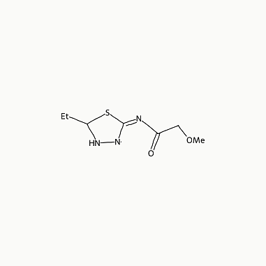 CCC1N[N]C(=NC(=O)COC)S1